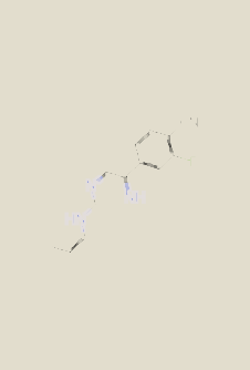 C/C=C\NC/N=C\C(=N)c1ccc(C#N)c(F)c1